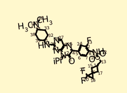 CC(C)n1c(=O)c(-c2ccc(NS(=O)(=O)CC3CC4(C3)CC4(F)F)c(F)c2)nc2cnc(NC3CCC(N(C)C)CC3)nc21